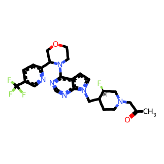 CC(=O)CN1CCC(Cn2ccc3c(N4CCOCC4c4ccc(C(F)(F)F)cn4)ncnc32)[C@@H](F)C1